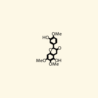 COc1ccc(C2Oc3cc(OC)c(OC)c(O)c3CC2=O)cc1O